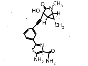 C[C@H]1[C@@H]2[C@H]1[C@@](O)(C#Cc1cccc(-c3nc(C(N)=O)c(N)s3)c1)C(=O)N2C